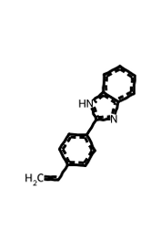 C=Cc1ccc(-c2nc3ccccc3[nH]2)cc1